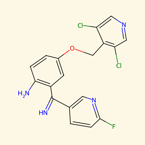 N=C(c1ccc(F)nc1)c1cc(OCc2c(Cl)cncc2Cl)ccc1N